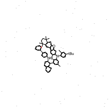 Cc1cc2c3c(c1)N(c1ccc(C(C)(C)C)cc1C)c1cc4oc5cc6c(cc5c4cc1B3N(c1ccc(-c3ccccc3)cc1)c1ccc3ccccc3c1-2)C(C)(C)CCC6(C)C